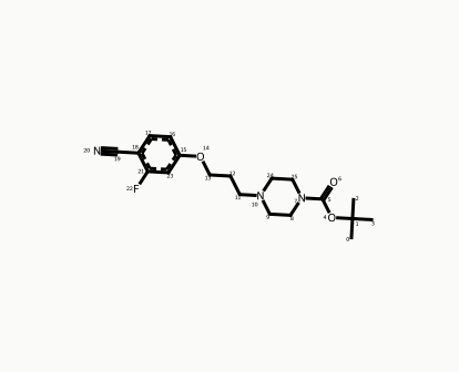 CC(C)(C)OC(=O)N1CCN(CCCOc2ccc(C#N)c(F)c2)CC1